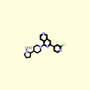 O=CN1CCCC1C1CCN(c2nc(-c3ccnc(Cl)c3)cc3cnccc23)CC1